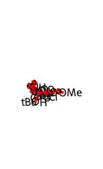 COc1ccc(COC(=O)C2(CCl)CN3C(=O)C(NC(=O)C(=NOCC(=O)OC(C)(C)C)c4csc(NC(c5ccccc5)(c5ccccc5)c5ccccc5)n4)[C@H]3[S+]([O-])C2)cc1